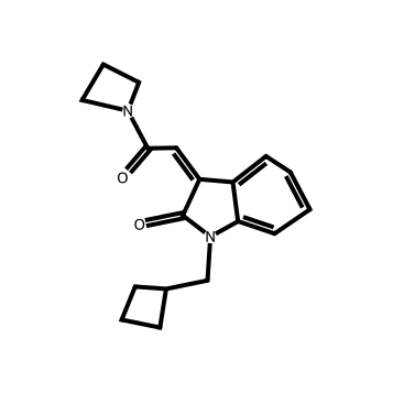 O=C(C=C1C(=O)N(CC2CCC2)c2ccccc21)N1CCC1